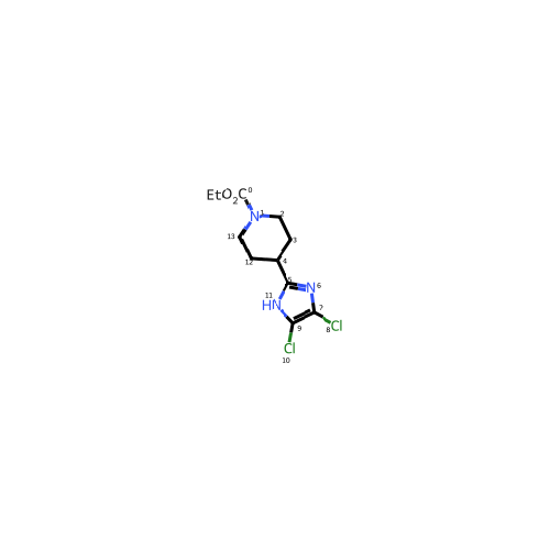 CCOC(=O)N1CCC(c2nc(Cl)c(Cl)[nH]2)CC1